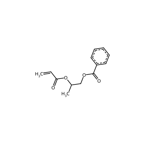 C=CC(=O)OC(C)COC(=O)c1ccccc1